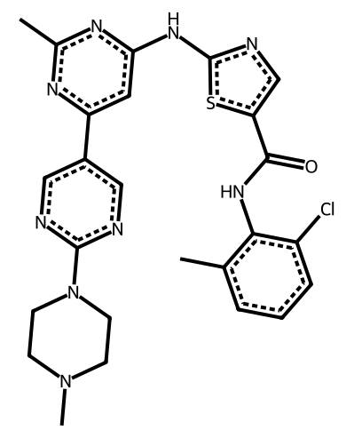 Cc1nc(Nc2ncc(C(=O)Nc3c(C)cccc3Cl)s2)cc(-c2cnc(N3CCN(C)CC3)nc2)n1